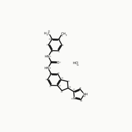 Cc1ccc(NC(=O)Nc2ccc3c(c2)CC(c2c[nH]cn2)C3)cc1C.Cl